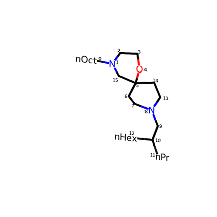 CCCCCCCCN1CCOC2(CCN(CC(CCC)CCCCCC)CC2)C1